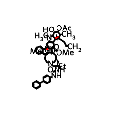 C=CCN1CCC23c4cc([C@@]5(C(=O)OC)CC6CN(CCc7c5[nH]c5ccccc75)CC(CC)(NC(=O)Nc5ccc(-c7ccccc7)cc5)C6)c(OC)cc4N(C)C2C(O)C(OC(C)=O)C(C)C13